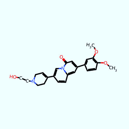 COc1ccc(-c2cc(=O)n3cc(C4=CCN(CCO)CC4)ccc3c2)cc1OC